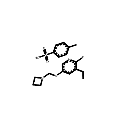 CCc1cc(OCN2CCC2)cnc1F.Cc1ccc(S(=O)(=O)O)cc1